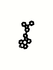 c1ccc(-n2c3ccccc3c3cc(-c4ccc5c(c4)c4cccc6c4n5-c4cccc5c4-c4c(cccc4-6)CO5)ccc32)cc1